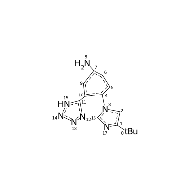 CC(C)(C)c1cn(-c2ccc(N)cc2-c2nnn[nH]2)cn1